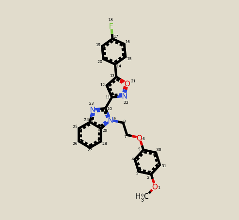 COc1ccc(OCCn2c(-c3cc(-c4ccc(F)cc4)on3)nc3ccccc32)cc1